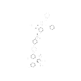 CCNP(=O)(Oc1ccc(N2CCN(c3cc(F)cc(-c4c(S(C)(=O)=O)c(C)n(C(C)C)c4-c4ccc(Cl)cc4)c3)CC2)cc1)Oc1ccc(N[C@H](CCN2CCOCC2)CSc2ccccc2)c(S(C)(=O)=O)c1